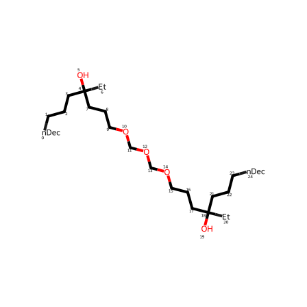 CCCCCCCCCCCCCC(O)(CC)CCCOCOCOCCCC(O)(CC)CCCCCCCCCCCCC